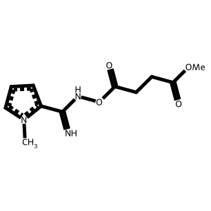 COC(=O)CCC(=O)ONC(=N)c1cccn1C